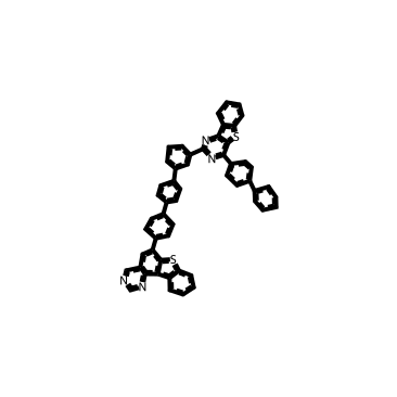 c1ccc(-c2ccc(-c3nc(-c4cccc(-c5ccc(-c6ccc(-c7cc8cncnc8c8c7sc7ccccc78)cc6)cc5)c4)nc4c3sc3ccccc34)cc2)cc1